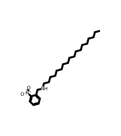 CCCCCCCCCCCCCCCCCCNCc1ccccc1[N+](=O)[O-]